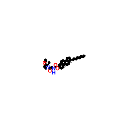 CCCCCCCC[C@H]1CCC2C3CC=C4CC(OC(=O)NCC(=O)N5CC[C@H](OCC)[C@@H]5CC)CC[C@]4(C)C3CC[C@@]21C